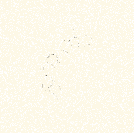 C[C@@H](Nc1nc(C2=CCN(C(=O)[C@H]3CCCN3)CC2)ncc1Cl)c1ccc(Cl)cc1Cl